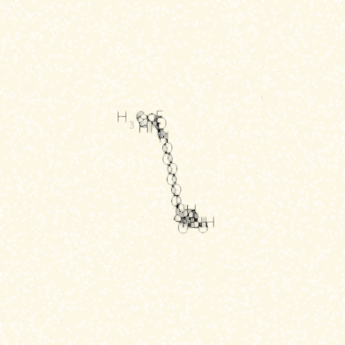 COc1ccc(F)c(C(=O)NC2CCN(CCOCCOCCOCCOCCOCCOCCNc3cccc4c3C(=O)N(C3CCC(=O)NC3=O)C4=O)CC2)c1